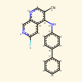 N#Cc1cnc2cnc(F)cc2c1Nc1ccc(-c2ccccc2)cc1